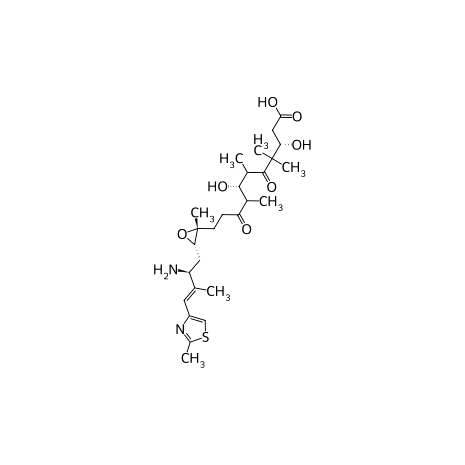 C/C(=C\c1csc(C)n1)[C@@H](N)C[C@@H]1O[C@]1(C)CCC(=O)C(C)[C@H](O)C(C)C(=O)C(C)(C)[C@@H](O)CC(=O)O